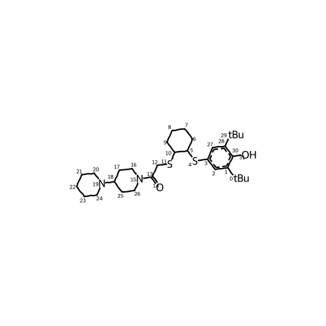 CC(C)(C)c1cc(SC2CCCCC2SCC(=O)N2CCC(N3CCCCC3)CC2)cc(C(C)(C)C)c1O